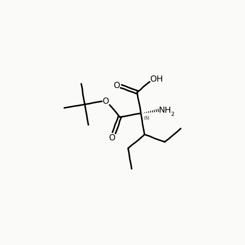 CCC(CC)[C@](N)(C(=O)O)C(=O)OC(C)(C)C